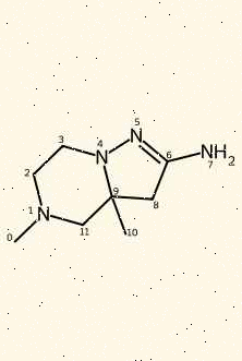 CN1CCN2N=C(N)CC2(C)C1